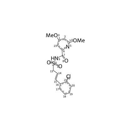 COc1cc(OC)nc(C(=O)NS(=O)(=O)CC=Cc2ccccc2Cl)c1